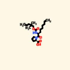 C=CCCCCC[C@H](NC(=O)OCC(C)(C)CC=C)C(=O)N1CCC[C@H]1C(=O)O